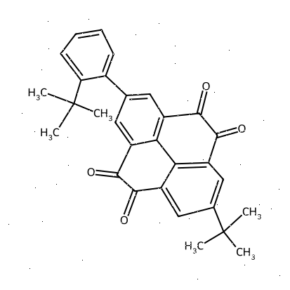 CC(C)(C)c1cc2c3c(c1)c(=O)c(=O)c1cc(-c4ccccc4C(C)(C)C)cc(c1-3)c(=O)c2=O